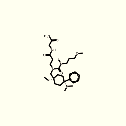 CC[C@]1(CN(CCC(=O)NCC(N)=O)C(=O)N(I)CCCOC)CC[C@](c2ccccc2)(N(C)C)CC1